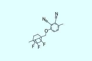 Cc1ccc(OCC23CCC(C)(CC2)C(F)(F)C3F)c(C#N)c1C#N